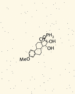 COc1ccc2c(c1)CCC1C2CC[C@@]2(C)C1C(O)C(O)[C@@H]2OP